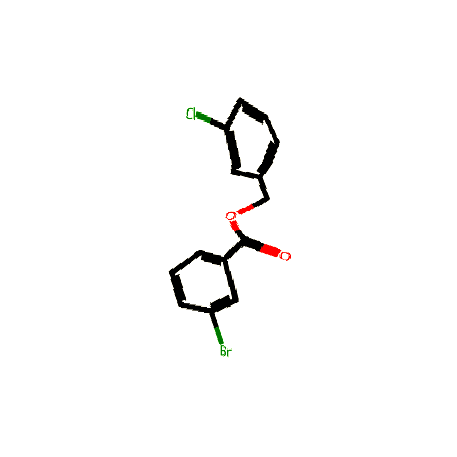 O=C(OCc1cccc(Cl)c1)c1cccc(Br)c1